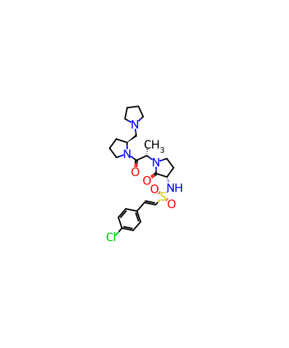 C[C@@H](C(=O)N1CCC[C@H]1CN1CCCC1)N1CC[C@H](NS(=O)(=O)C=Cc2ccc(Cl)cc2)C1=O